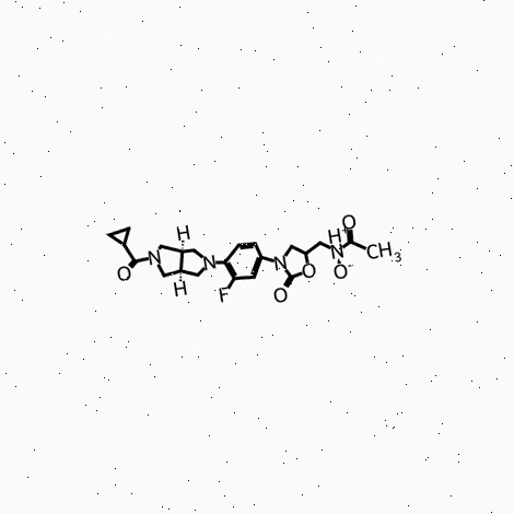 CC(=O)[N@@H+]([O-])CC1CN(c2ccc(N3C[C@H]4CN(C(=O)C5CC5)C[C@H]4C3)c(F)c2)C(=O)O1